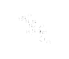 Cc1c(Cl)cccc1NOC(=O)c1cnc(N2CC(C)(C)NC2=O)nc1N